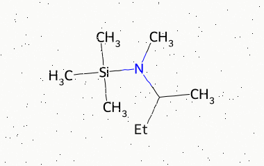 CCC(C)N(C)[Si](C)(C)C